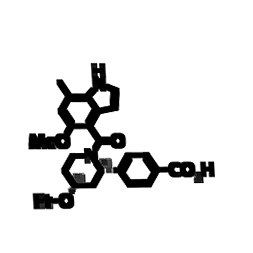 CCO[C@@H]1CCN(C(=O)c2c(OC)cc(C)c3[nH]ccc23)[C@H](c2ccc(C(=O)O)cc2)C1